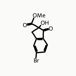 COC(=O)C1(O)Cc2cc(Br)ccc2C1=O